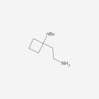 CCCCC1(CCN)CCC1